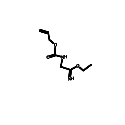 C=CCOC(=O)NCC(=N)OCC